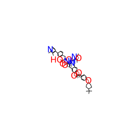 Cc1nc(C(=O)N2Cc3cc4c(cc3C[C@H]2C(=O)NC(Cc2ccc(-c3ccnc(C)c3C)cc2)C(=O)O)OC[C@H](c2ccc(OC3CCC(C(C)(C)C)CC3)cc2)O4)c(C)o1